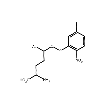 CC(=O)C(CCC(N)C(=O)O)OSc1cc(C)ccc1[N+](=O)[O-]